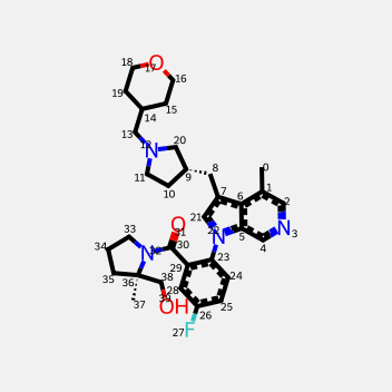 Cc1cncc2c1c(C[C@@H]1CCN(CC3CCOCC3)C1)cn2-c1ccc(F)cc1C(=O)N1CCC[C@]1(C)CO